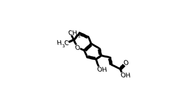 CC1(C)C=Cc2cc(C=CC(=O)O)c(O)cc2O1